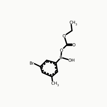 CCOC(=O)OB(O)c1cc(C)cc(Br)c1